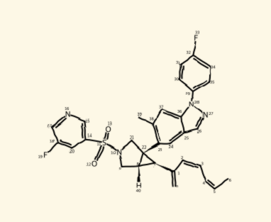 C=C(/C=C\C=C/C)[C@H]1[C@@H]2CN(S(=O)(=O)c3cncc(F)c3)C[C@@]21c1cc2cnn(-c3ccc(F)cc3)c2cc1C